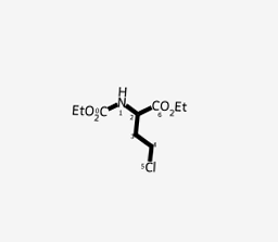 CCOC(=O)NC(CCCl)C(=O)OCC